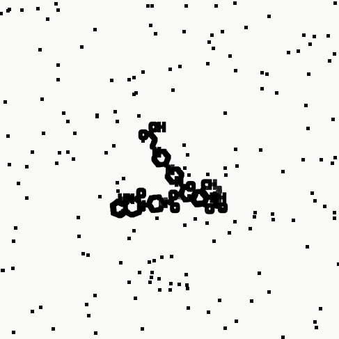 Cc1cc(C[C@@H](OC(=O)N2CCC(N3CCc4ccccc4NC3=O)CC2)C(=O)N2CCN(C3CCN(CCC(=O)O)CC3)CC2)cc2oc(=O)[nH]c12